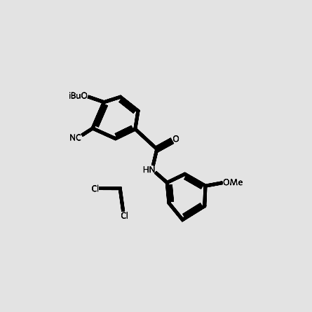 COc1cccc(NC(=O)c2ccc(OCC(C)C)c(C#N)c2)c1.ClCCl